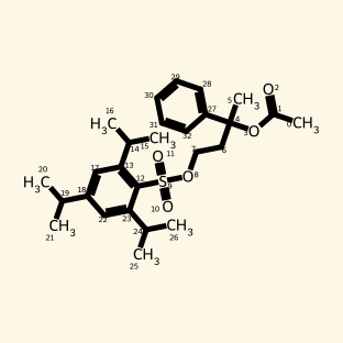 CC(=O)OC(C)(CCOS(=O)(=O)c1c(C(C)C)cc(C(C)C)cc1C(C)C)c1ccccc1